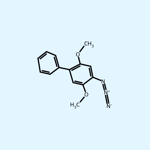 COc1cc(-c2ccccc2)c(OC)cc1N=[N+]=[N-]